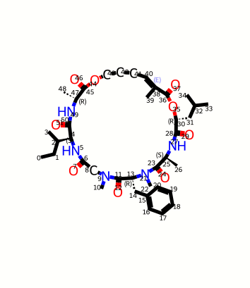 CCC(C)[C@@H]1NC(=O)CN(C)C(=O)[C@@H](Cc2ccccc2)N(C)C(=O)[C@H](C)NC(=O)[C@@H](CC(C)C)OC(=O)/C(C)=C/CCCOC(=O)[C@@H](C)NC1=O